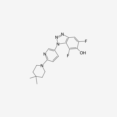 CC1(C)CCN(c2ccc(-n3nnc4cc(F)c(O)c(F)c43)cn2)CC1